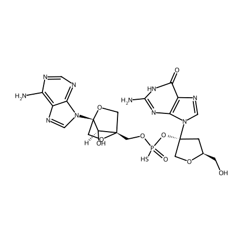 Nc1nc2c(ncn2[C@]2(OP(=O)(S)OC[C@@]34CO[C@@](n5cnc6c(N)ncnc65)(CO3)[C@@H]4O)CO[C@H](CO)C2)c(=O)[nH]1